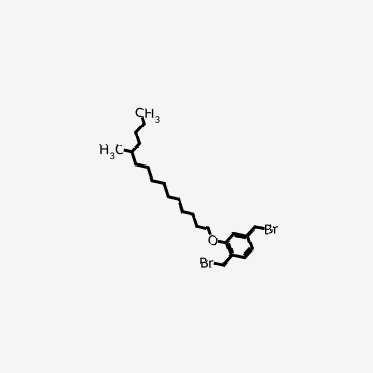 CCCCC(C)CCCCCCCCCCOc1cc(CBr)ccc1CBr